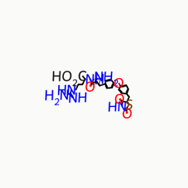 N=C(N)NCCCC(NC(=O)[C@@H](N)Cc1ccc(Oc2ccc(CC3SC(=O)NC3=O)cc2)cc1)C(=O)O